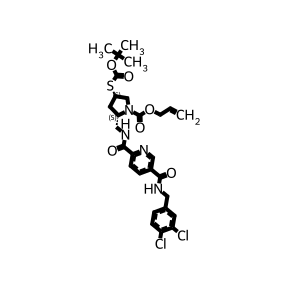 C=CCOC(=O)N1C[C@@H](SC(=O)OC(C)(C)C)C[C@H]1CNC(=O)c1ccc(C(=O)NCc2ccc(Cl)c(Cl)c2)cn1